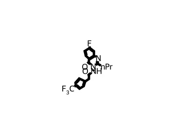 CCCc1nc2cc(F)ccc2c(=O)n1NC(=O)Cc1ccc(C(F)(F)F)cc1